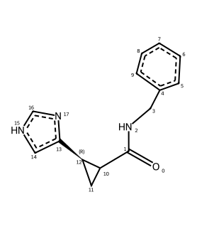 O=C(NCc1ccccc1)C1C[C@H]1c1c[nH]cn1